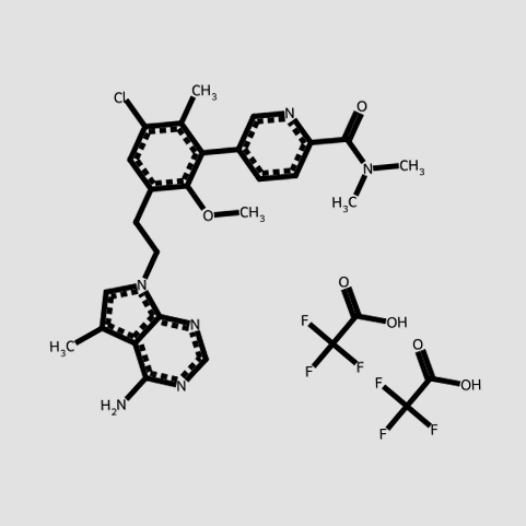 COc1c(CCn2cc(C)c3c(N)ncnc32)cc(Cl)c(C)c1-c1ccc(C(=O)N(C)C)nc1.O=C(O)C(F)(F)F.O=C(O)C(F)(F)F